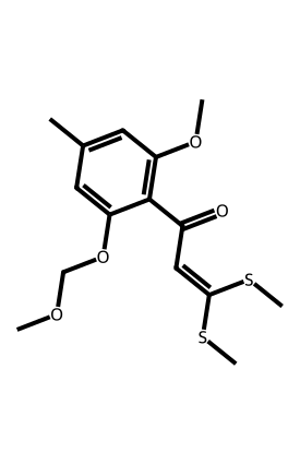 COCOc1cc(C)cc(OC)c1C(=O)C=C(SC)SC